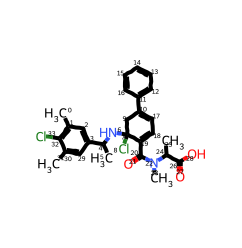 Cc1cc(C(C)NC2(Cl)CC(c3ccccc3)=CC=C2C(=O)N(C)C(C)C(=O)O)cc(C)c1Cl